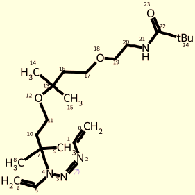 C=C/N=N\N(C=C)C(C)(C)CCOC(C)(C)CCOCCNC(=O)C(C)(C)C